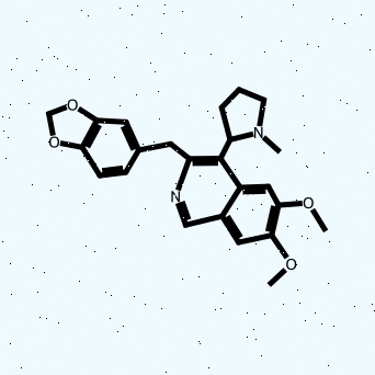 COc1cc2cnc(Cc3ccc4c(c3)OCO4)c(C3CCCN3C)c2cc1OC